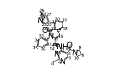 Cc1ncc(C(=O)N2CCC2)c(N[C@@H](C)c2cc3cccc(-c4cnn(C)c4)c3c(=O)n2-c2ccccc2)n1